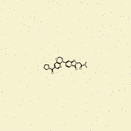 CN(C)C(=O)Cn1nc2cc(N3CCOc4cc(C(=O)N5CCCC5)cnc43)ccn2c1=O